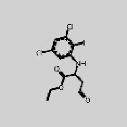 CCOC(=O)C(CC=O)Nc1cc(Cl)cc(Cl)c1I